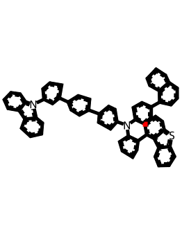 c1cc(-c2ccc(-c3ccc(N(c4ccc(-c5cccc6ccccc56)cc4)c4ccccc4-c4cccc5sc6ccccc6c45)cc3)cc2)cc(-n2c3ccccc3c3ccccc32)c1